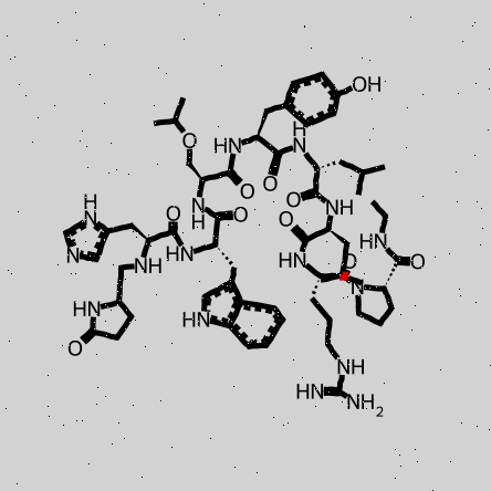 CCNC(=O)[C@@H]1CCCN1C(=O)[C@H](CCCNC(=N)N)NC(=O)[C@H](CC(C)C)NC(=O)[C@@H](CC(C)C)NC(=O)[C@H](Cc1ccc(O)cc1)NC(=O)[C@H](COC(C)C)NC(=O)[C@H](Cc1c[nH]c2ccccc12)NC(=O)[C@H](Cc1cnc[nH]1)NCC1CCC(=O)N1